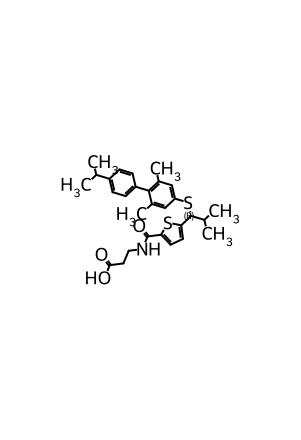 Cc1cc(S[C@@H](c2ccc(C(=O)NCCC(=O)O)s2)C(C)C)cc(C)c1-c1ccc(C(C)C)cc1